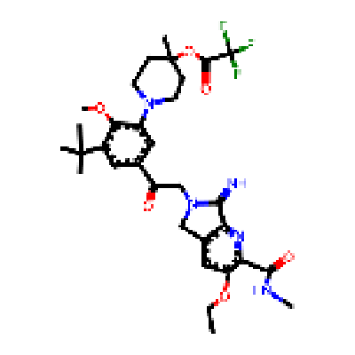 CCOc1cc2c(nc1C(=O)NC)C(=N)N(CC(=O)c1cc(N3CCC(C)(OC(=O)C(F)(F)F)CC3)c(OC)c(C(C)(C)C)c1)C2